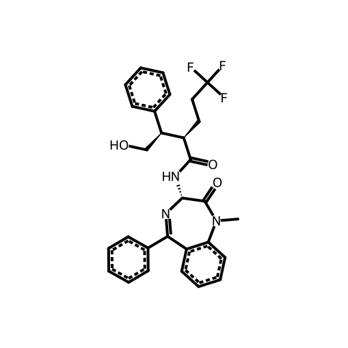 CN1C(=O)[C@@H](NC(=O)[C@H](CCC(F)(F)F)[C@@H](CO)c2ccccc2)N=C(c2ccccc2)c2ccccc21